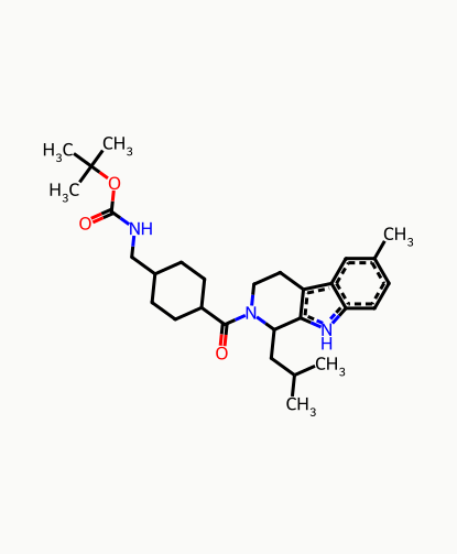 Cc1ccc2[nH]c3c(c2c1)CCN(C(=O)C1CCC(CNC(=O)OC(C)(C)C)CC1)C3CC(C)C